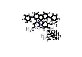 C=C/C=C\C(=C/C)C1(C2=CC=C(BOC(C)(C)C(C)(C)O)C(C)C2)c2cc(-c3ccccc3)ccc2-c2ccc(-c3ccccc3)cc21